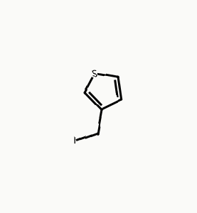 ICc1ccsc1